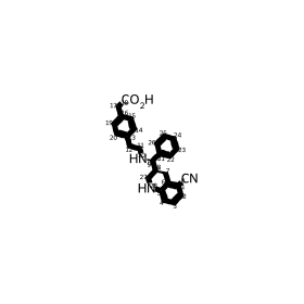 N#Cc1cccc2c1C[C@H]([C@H](NCCc1ccc(CC(=O)O)cc1)c1ccccc1)CN2